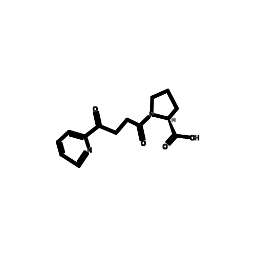 O=C(CCC(=O)N1CCC[C@H]1C(=O)O)c1ccccn1